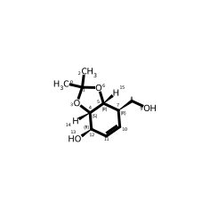 CC1(C)O[C@@H]2[C@H](O1)[C@@H](CO)C=C[C@H]2O